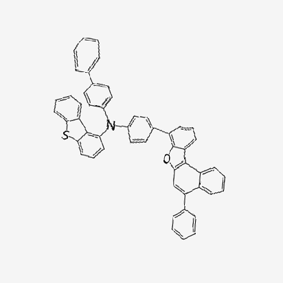 c1ccc(-c2ccc(N(c3ccc(-c4cccc5c4oc4cc(-c6ccccc6)c6ccccc6c45)cc3)c3cccc4sc5ccccc5c34)cc2)cc1